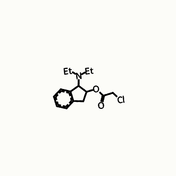 CCN(CC)C1c2ccccc2CC1OC(=O)CCl